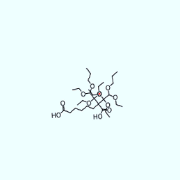 CCCOC(OCC)C(OCC)(OCC)C(CCCCCC(=O)O)(C(=O)O)C(OCC)(OCC)C(OCC)OCCC